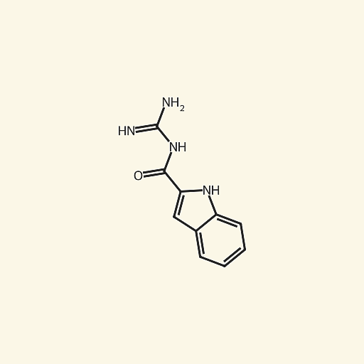 N=C(N)NC(=O)c1cc2ccccc2[nH]1